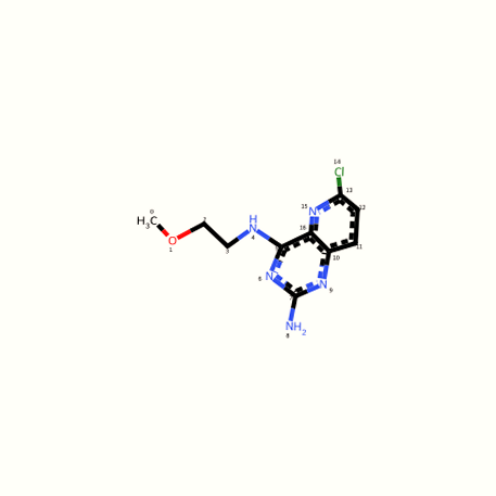 COCCNc1nc(N)nc2ccc(Cl)nc12